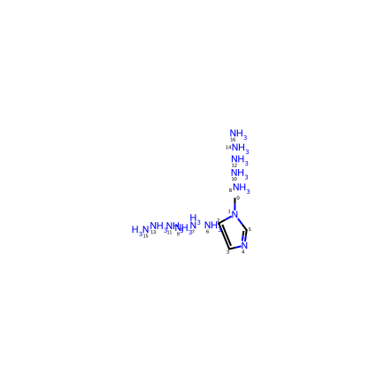 Cn1ccnc1.N.N.N.N.N.N.N.N.N.N.N